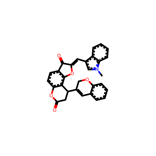 Cn1cc(C=C2Oc3c(ccc4c3C(C3=Cc5ccccc5OC3)CC(=O)O4)C2=O)c2ccccc21